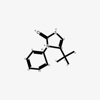 CC(C)(C)c1csc(=O)n1-c1ccccc1